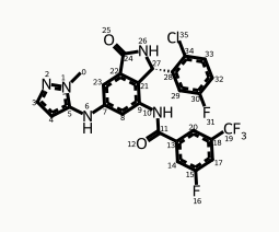 Cn1nccc1Nc1cc(NC(=O)c2cc(F)cc(C(F)(F)F)c2)c2c(c1)C(=O)N[C@@H]2c1cc(F)ccc1Cl